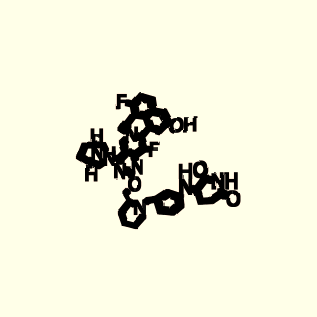 C#Cc1c(F)ccc2cc(O)cc(-c3ncc4c(N5C[C@H]6CC[C@@H](C5)N6)nc(OC[C@@H]5CCCCN5Cc5cccc(NC6CCC(=O)NC6=O)c5)nc4c3F)c12